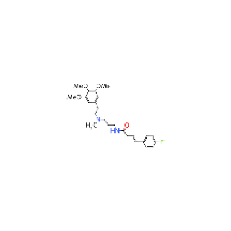 COc1cc(CCN(C)CCCNC(=O)C/C=C/c2ccc(F)cc2)cc(OC)c1OC